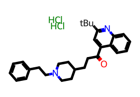 CC(C)(C)c1cc(C(=O)CCC2CCN(CCc3ccccc3)CC2)c2ccccc2n1.Cl.Cl